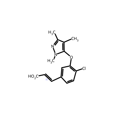 Cc1nn(C)c(Oc2cc(/C=C/C(=O)O)ccc2Cl)c1C